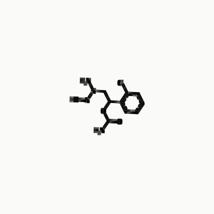 N=NN(N)CC(OC(N)=O)c1ccccc1Cl